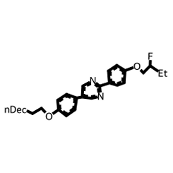 CCCCCCCCCCCCOc1ccc(-c2cnc(-c3ccc(OCC(F)CC)cc3)nc2)cc1